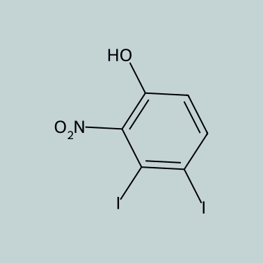 O=[N+]([O-])c1c(O)ccc(I)c1I